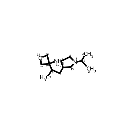 CC(C)N1CCC(CC(C)C2(N)COC2)C1